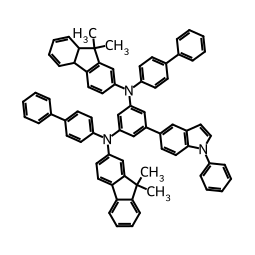 CC1(C)c2ccccc2-c2ccc(N(c3ccc(-c4ccccc4)cc3)c3cc(-c4ccc5c(ccn5-c5ccccc5)c4)cc(N(c4ccc(-c5ccccc5)cc4)c4ccc5c(c4)C(C)(C)C4C=CC=CC54)c3)cc21